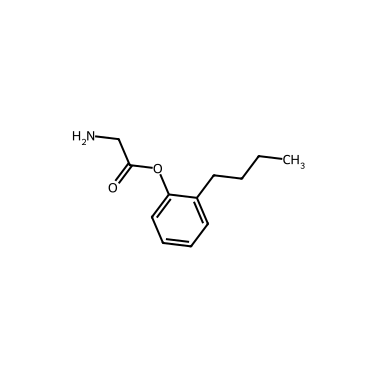 CCCCc1ccccc1OC(=O)CN